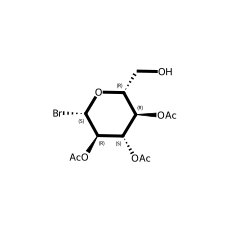 CC(=O)O[C@@H]1[C@@H](OC(C)=O)[C@H](Br)O[C@H](CO)[C@H]1OC(C)=O